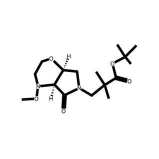 CON1CCO[C@H]2CN(CC(C)(C)C(=O)OC(C)(C)C)C(=O)[C@H]21